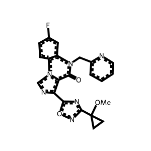 COC1(c2noc(-c3ncn4c3c(=O)n(Cc3ccccn3)c3cc(F)ccc34)n2)CC1